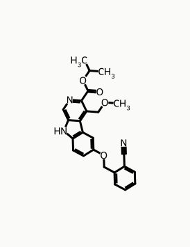 COCc1c(C(=O)OC(C)C)ncc2[nH]c3ccc(OCc4ccccc4C#N)cc3c12